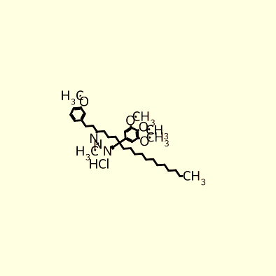 CCCCCCCCCCCCC(C#N)(CCCC(CCc1cccc(OC)c1)N=NC)c1cc(OC)c(OC)c(OC)c1.Cl